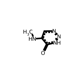 CNc1cnn[nH]c1=O